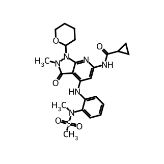 CN(c1ccccc1Nc1cc(NC(=O)C2CC2)nc2c1c(=O)n(C)n2C1CCCCO1)S(C)(=O)=O